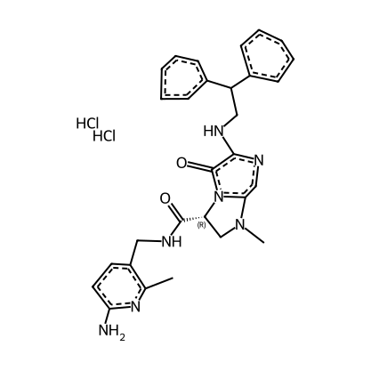 Cc1nc(N)ccc1CNC(=O)[C@H]1CN(C)c2cnc(NCC(c3ccccc3)c3ccccc3)c(=O)n21.Cl.Cl